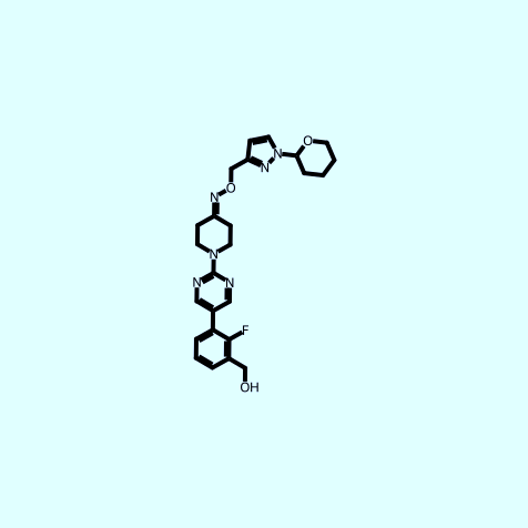 OCc1cccc(-c2cnc(N3CCC(=NOCc4ccn(C5CCCCO5)n4)CC3)nc2)c1F